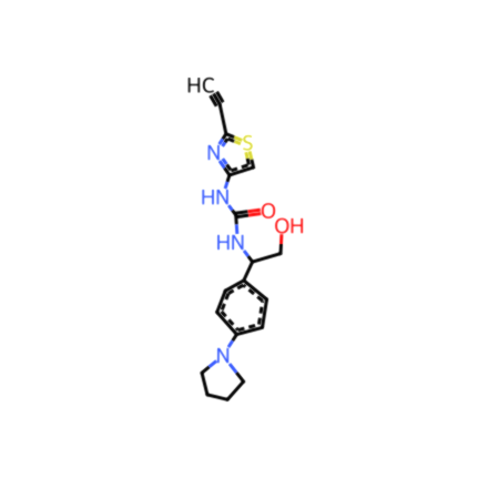 C#Cc1nc(NC(=O)NC(CO)c2ccc(N3CCCC3)cc2)cs1